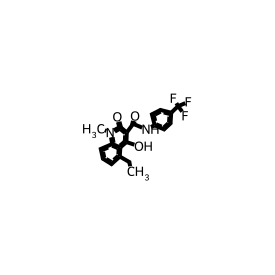 CCc1cccc2c1c(O)c(C(=O)Nc1ccc(C(F)(F)F)cc1)c(=O)n2C